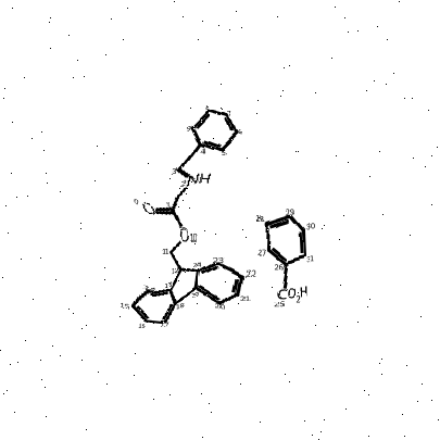 O=C(NCc1ccccc1)OCC1c2ccccc2-c2ccccc21.O=C(O)c1ccccc1